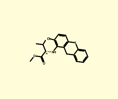 COC(=O)[C@@H](Nc1c(Cl)ccc2c1Cc1ccccc1S2)C(C)C